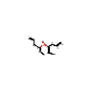 C=CCC(=CC)OC(=CC)CC=C